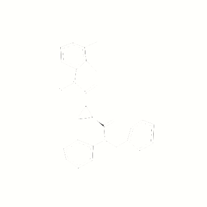 NN(C(=O)[C@H]1O[C@@H]1C(=O)N(Cc1ccccc1)c1ccccc1)c1cccc(Cl)c1Cl